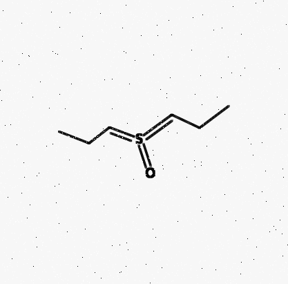 CCC=S(=O)=CCC